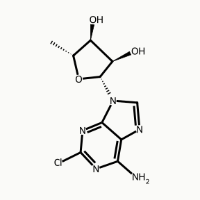 C[C@H]1O[C@@H](n2cnc3c(N)nc(Cl)nc32)[C@H](O)[C@@H]1O